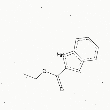 CCOC(=O)c1[c]c2ccccc2[nH]1